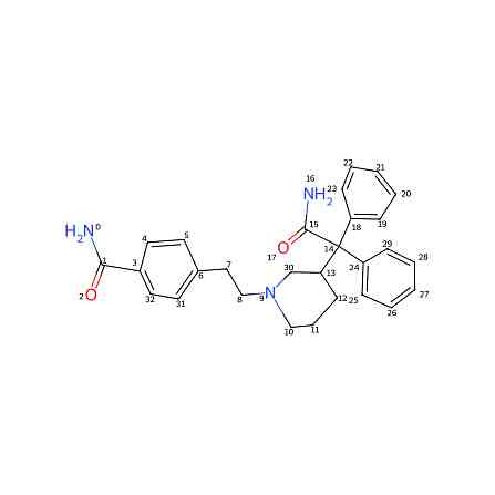 NC(=O)c1ccc(CCN2CCCC(C(C(N)=O)(c3ccccc3)c3ccccc3)C2)cc1